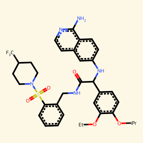 CCOc1cc(C(Nc2ccc3c(N)nccc3c2)C(=O)NCc2ccccc2S(=O)(=O)N2CCC(C(F)(F)F)CC2)ccc1OC(C)C